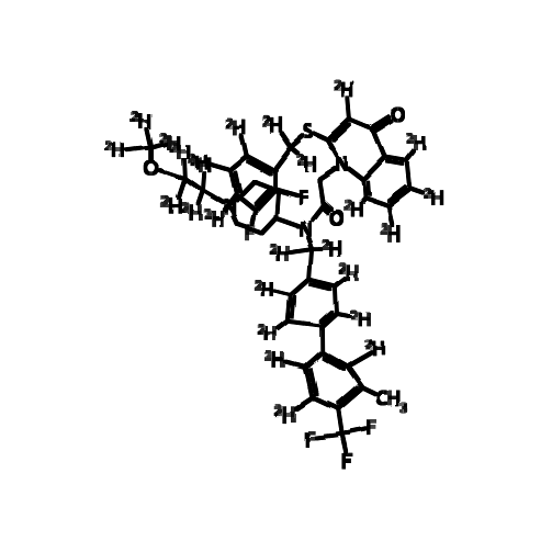 [2H]c1c([2H])c(F)c(F)c(C([2H])([2H])Sc2c([2H])c(=O)c3c([2H])c([2H])c([2H])c([2H])c3n2CC(=O)N(C2CCN(C([2H])([2H])C([2H])([2H])OC([2H])([2H])[2H])CC2)C([2H])([2H])c2c([2H])c([2H])c(-c3c([2H])c([2H])c(C(F)(F)F)c(C)c3[2H])c([2H])c2[2H])c1[2H]